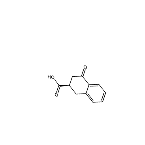 O=C1C[C@H](C(=O)O)Cc2ccccc21